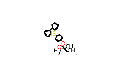 CCC(C)(C)C(=O)Oc1ccc([SH]2c3ccccc3-c3ccccc32)cc1